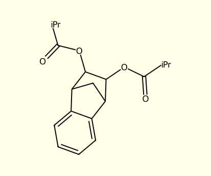 CC(C)C(=O)OC1C2CC(c3ccccc32)C1OC(=O)C(C)C